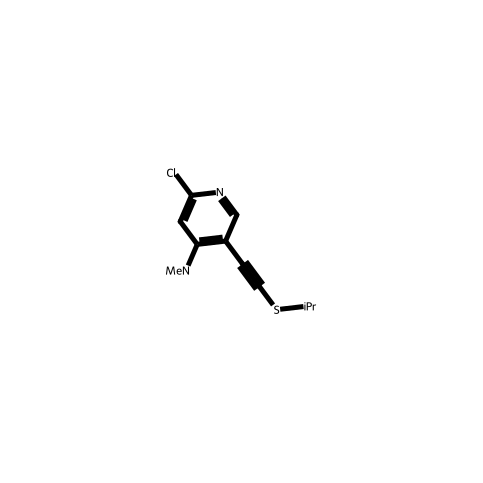 CNc1cc(Cl)ncc1C#CSC(C)C